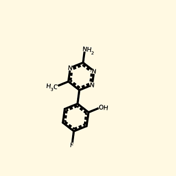 Cc1nc(N)nnc1-c1ccc(F)cc1O